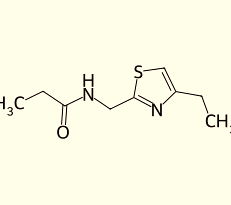 CCC(=O)NCc1nc(CC)cs1